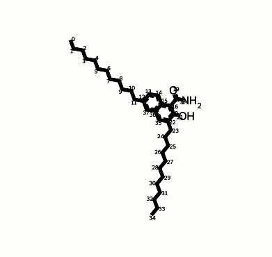 CCCCCCCCCCCCc1ccc2c(C(N)=O)c(O)c(CCCCCCCCCCCC)cc2c1